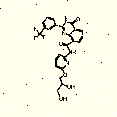 Cn1c(-c2cccc(C(F)(F)F)c2)nc2c(C(=O)Nc3cccc(OC[C@@H](O)CO)n3)cccc2c1=O